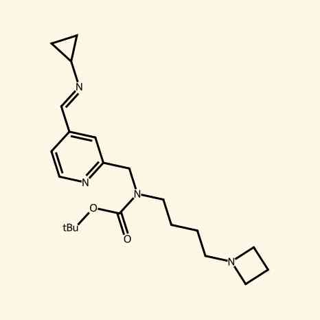 CC(C)(C)OC(=O)N(CCCCN1CCC1)Cc1cc(C=NC2CC2)ccn1